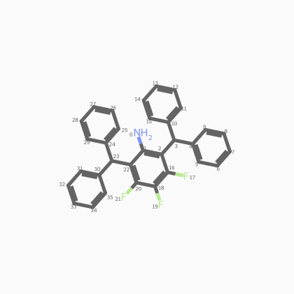 Nc1c(C(c2ccccc2)c2ccccc2)c(F)c(F)c(F)c1C(c1ccccc1)c1ccccc1